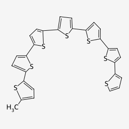 Cc1ccc(-c2ccc(-c3ccc(-c4ccc(-c5ccc(-c6ccc(-c7cccs7)s6)s5)s4)s3)s2)s1